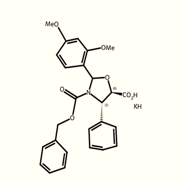 COc1ccc(C2O[C@@H](C(=O)O)[C@H](c3ccccc3)N2C(=O)OCc2ccccc2)c(OC)c1.[KH]